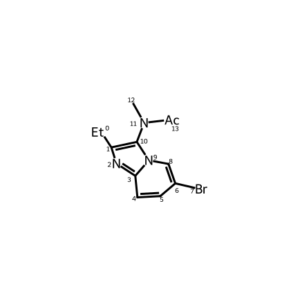 CCc1nc2ccc(Br)cn2c1N(C)C(C)=O